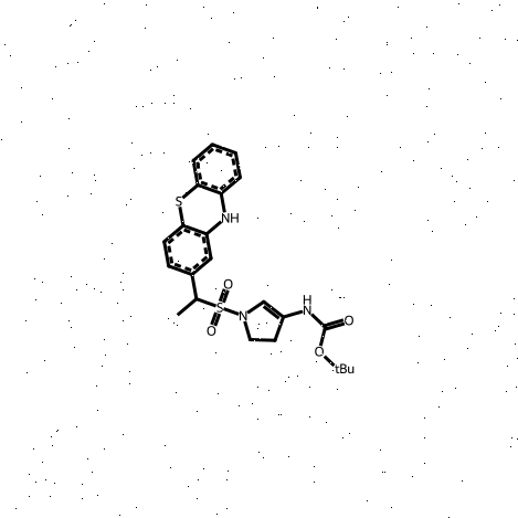 CC(c1ccc2c(c1)Nc1ccccc1S2)S(=O)(=O)N1C=C(NC(=O)OC(C)(C)C)CC1